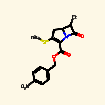 CCCCSC1=C(C(=O)OCc2ccc([N+](=O)[O-])cc2)N2C(=O)C(CC)C2C1